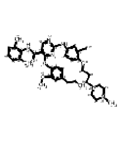 CCCc1ccc(Oc2nc(Nc3ccc(OCCCN4CCN(C)CC4)c(F)c3)ncc2C(=O)Nc2c(C)cccc2C)c(OC)c1